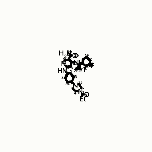 CCC(=O)N1CCN(c2ccc(Nc3cc(NC4(c5cccc(F)c5F)CC4)c(C(N)=O)cn3)cc2)CC1